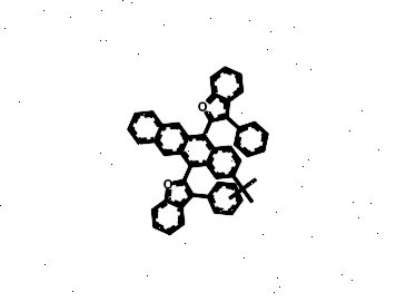 CC(C)(C)c1ccc2c(-c3oc4ccccc4c3-c3ccccc3)c3cc4ccccc4cc3c(-c3oc4ccccc4c3-c3ccccc3)c2c1